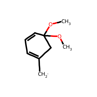 [CH2]C1=CC=CC(OC)(OC)C1